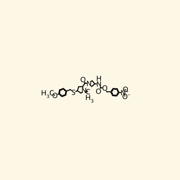 COc1ccc(CSC2CC(C(=O)N3CC(NC(=O)OCc4ccc([N+](=O)[O-])cc4)C3)N(C)C2)cc1